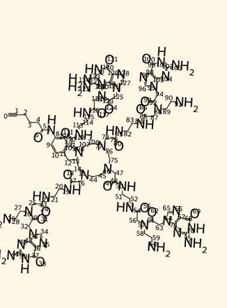 C#CCCCC(=O)Nc1ccc(CC2CN(CC(=O)NCCNC(=O)CN(CCN)C(=O)Cn3cnc4c(=O)[nH]c(N)nc43)CCN(CC(=O)NCCNC(=O)CN(CCN)C(=O)Cn3cnc4c(=O)[nH]c(N)nc43)CCN(CC(=O)NCCNC(=O)CN(CCN)C(=O)Cn3cnc4c(=O)[nH]c(N)nc43)CCN2CC(=O)NCCNC(=O)CN(CCN)C(=O)Cn2cnc3c(=O)[nH]c(N)nc32)cc1